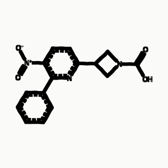 O=C(O)N1CC(c2ccc([N+](=O)[O-])c(-c3ccccc3)n2)C1